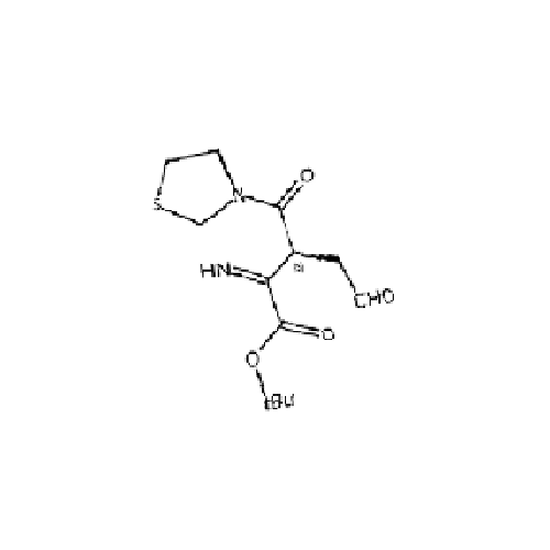 CC(C)(C)OC(=O)C(=N)[C@H](CC=O)C(=O)N1CCSC1